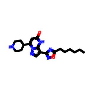 CCCCCCc1nc(-c2cnn3c(C4CCNCC4)cc(=O)[nH]c23)no1